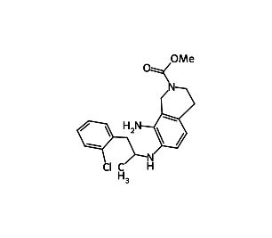 COC(=O)N1CCc2ccc(NC(C)Cc3ccccc3Cl)c(N)c2C1